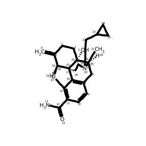 C=C1CC[C@@]2(O)[C@H]3Cc4ccc(C(N)=O)c5c4[C@@]2(CC[N+]3(C)CC2CC2)[C@H]1O5